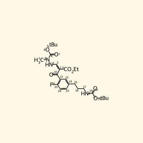 CCOC(=O)/C(=C/NN(C)C(=O)OC(C)(C)C)C(=O)c1cc(CCCNC(=O)OC(C)(C)C)ccc1F